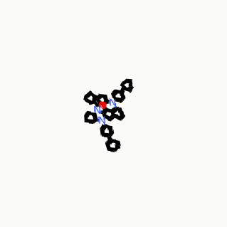 c1ccc(-c2ccc(N(c3ccccc3)c3cc4cccc(N(c5ccccc5)c5ccc(-c6ccccc6)cc5)c4c4oc(-c5ccccc5)nc34)cc2)cc1